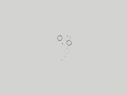 CC(C)(C)OC(=O)N1CCC(c2ccc3c(c2)N(c2cccc(Cl)c2C#N)C(=O)C3(C)C)CC1